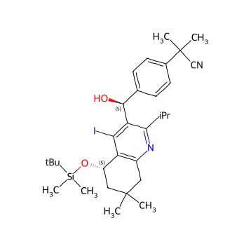 CC(C)c1nc2c(c(I)c1[C@@H](O)c1ccc(C(C)(C)C#N)cc1)[C@@H](O[Si](C)(C)C(C)(C)C)CC(C)(C)C2